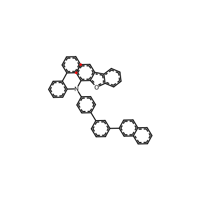 c1ccc(-c2ccccc2N(c2ccc(-c3cccc(-c4ccc5ccccc5c4)c3)cc2)c2cccc3c2oc2ccccc23)cc1